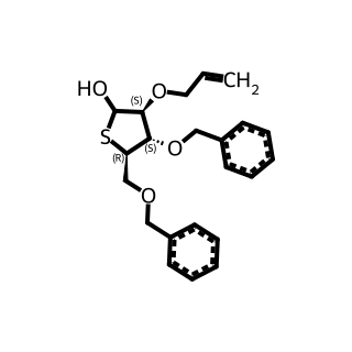 C=CCO[C@@H]1C(O)S[C@H](COCc2ccccc2)[C@H]1OCc1ccccc1